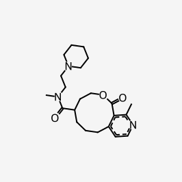 Cc1nccc2c1C(=O)OCCC(C(=O)N(C)CCN1CCCCC1)CCC2